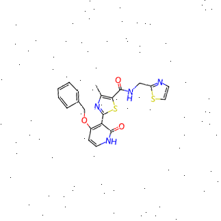 Cc1nc(-c2c(OCc3ccccc3)cc[nH]c2=O)sc1C(=O)NCc1nccs1